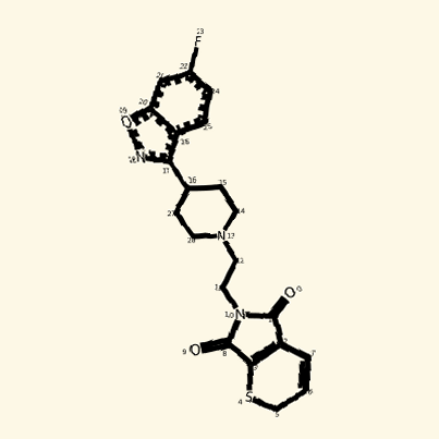 O=C1C2=C(SCC=C2)C(=O)N1CCN1CCC(c2noc3cc(F)ccc23)CC1